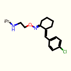 CC(C)NCCO/N=C1\CCCC\C1=C/c1ccc(Cl)cc1